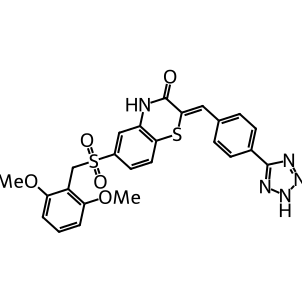 COc1cccc(OC)c1CS(=O)(=O)c1ccc2c(c1)NC(=O)/C(=C/c1ccc(-c3nn[nH]n3)cc1)S2